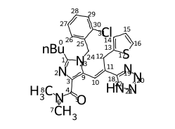 CCCCc1nc(C(=O)N(C)C)c(C=C(Cc2cccs2)c2nnn[nH]2)n1Cc1ccccc1Cl